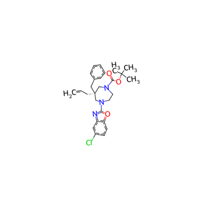 C=CC[C@]1(Cc2ccccc2)CN(C(=O)OC(C)(C)C)CCN(c2nc3cc(Cl)ccc3o2)C1